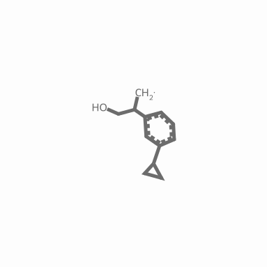 [CH2]C(CO)c1cccc(C2CC2)c1